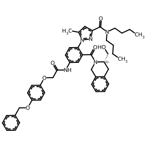 CCCCN(CCCC)C(=O)c1cc(C)n(-c2ccc(NC(=O)COc3ccc(OCc4ccccc4)cc3)cc2C(=O)N2Cc3ccccc3C[C@H]2CO)n1